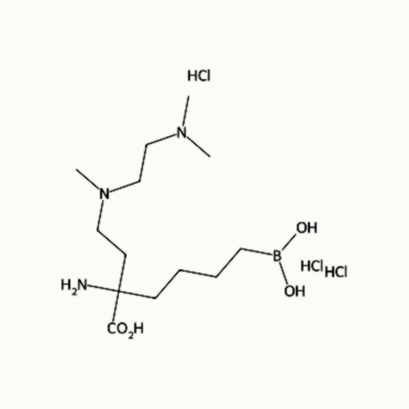 CN(C)CCN(C)CCC(N)(CCCCB(O)O)C(=O)O.Cl.Cl.Cl